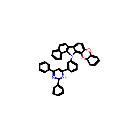 C1=CCC2Oc3c(ccc4c5ccc6ccccc6c5n(-c5cccc(C6=CC(c7ccccc7)=NC(c7ccccc7)N6)c5)c34)OC2=C1